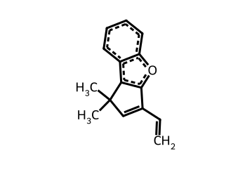 C=CC1=CC(C)(C)c2c1oc1ccccc21